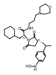 CC(C[C@@H]1CC(=O)N([C@@H](CC2CCCCC2)C(=O)NCCCN2CCOCC2)C1=O)c1ccc(NO)cc1